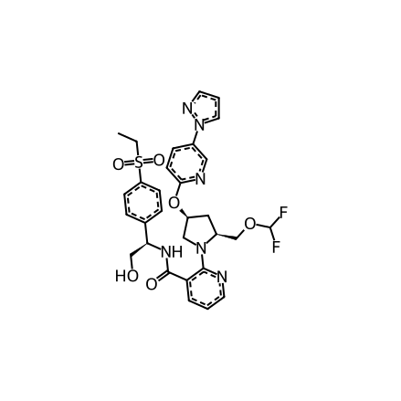 CCS(=O)(=O)c1ccc([C@H](CO)NC(=O)c2cccnc2N2C[C@@H](Oc3ccc(-n4cccn4)cn3)C[C@H]2COC(F)F)cc1